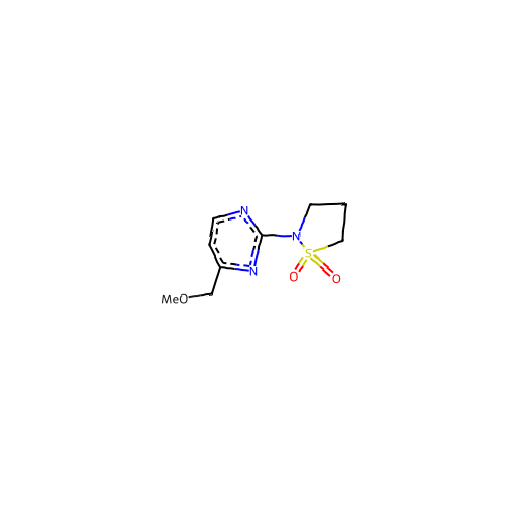 COCc1ccnc(N2CCCS2(=O)=O)n1